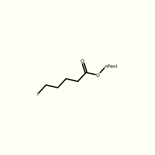 CCCCCOC(=O)CCCCI